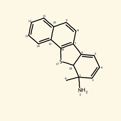 CC1(N)C=CC=C2c3ccc4ccccc4c3SC21